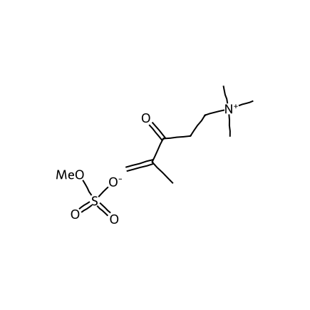 C=C(C)C(=O)CC[N+](C)(C)C.COS(=O)(=O)[O-]